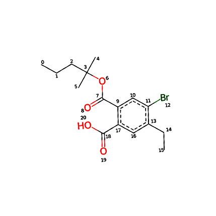 CCCC(C)(C)OC(=O)c1cc(Br)c(CC)cc1C(=O)O